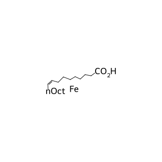 CCCCCCCC/C=C\CCCCCCCC(=O)O.[Fe]